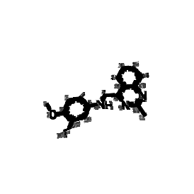 COc1ccc(NCc2nc(C)nc3ccccc23)cc1F